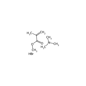 Br.C=C(C)C(=O)OC.CN(C)C